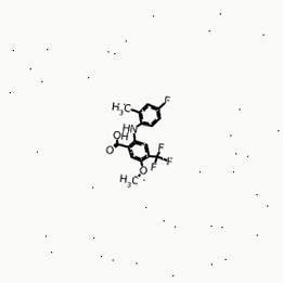 COc1cc(C(=O)O)c(Nc2ccc(F)cc2C)cc1C(F)(F)F